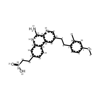 COc1ccc(CCc2cnc3c(N)nc4cc(CC[PH](=O)O)ccc4c3c2)c(C)c1